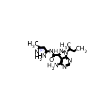 CCC(C)n1nc(C(=O)NC(=N)/C=C(/C)N)c2c(N)ncnc21